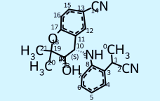 CC(C#N)c1ccccc1N[C@H]1c2cc(C#N)ccc2OC(C)(C)[C@@H]1O